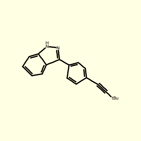 CC(C)(C)C#Cc1ccc(-c2n[nH]c3ccccc23)cc1